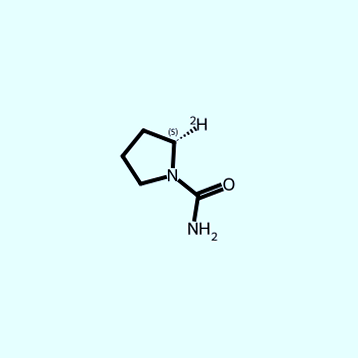 [2H][C@H]1CCCN1C(N)=O